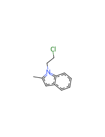 Cc1cc2ccccc2n1CCCl